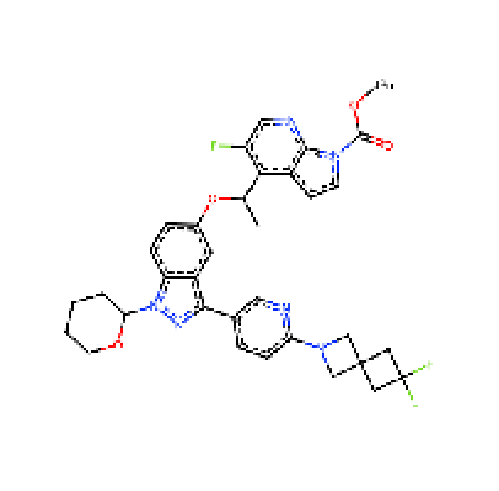 CC(Oc1ccc2c(c1)c(-c1ccc(N3CC4(C3)CC(F)(F)C4)nc1)nn2C1CCCCO1)c1c(F)cnc2c1ccn2C(=O)OC(C)(C)C